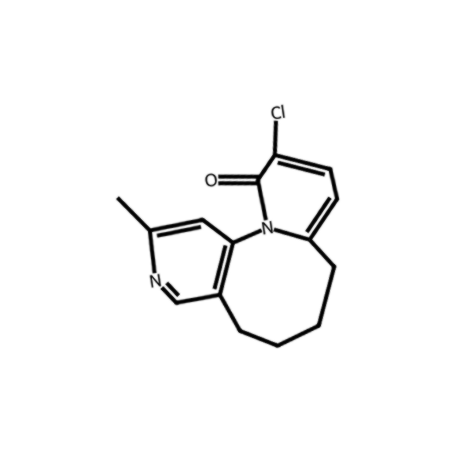 Cc1cc2c(cn1)CCCCc1ccc(Cl)c(=O)n1-2